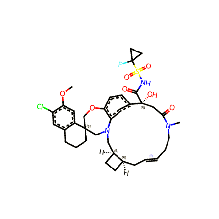 COc1cc2c(cc1Cl)CCC[C@]21COc2ccc3cc2N(C[C@@H]2CC[C@@H]2C/C=C/CCN(C)C(=O)C[C@]3(O)C(=O)NS(=O)(=O)C2(F)CC2)C1